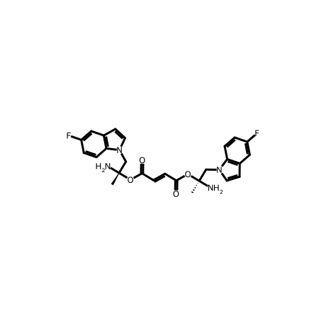 C[C@@](N)(Cn1ccc2cc(F)ccc21)OC(=O)/C=C/C(=O)O[C@](C)(N)Cn1ccc2cc(F)ccc21